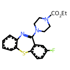 CCOC(=O)N1CCN(C2=Nc3ccccc3Sc3ccc(F)cc32)CC1